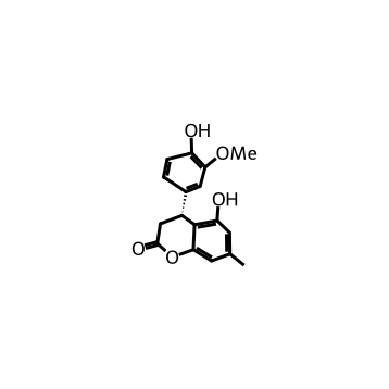 COc1cc([C@H]2CC(=O)Oc3cc(C)cc(O)c32)ccc1O